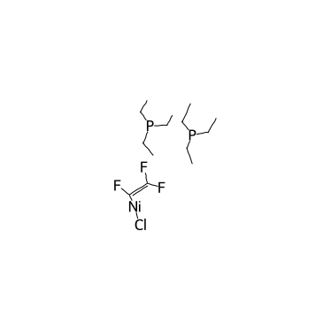 CCP(CC)CC.CCP(CC)CC.FC(F)=[C](F)[Ni][Cl]